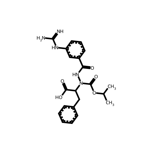 CC(C)OC(=O)N(NC(=O)c1cccc(NC(=N)N)c1)C(Cc1ccccc1)C(=O)O